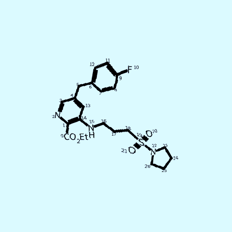 CCOC(=O)c1ncc(Cc2ccc(F)cc2)cc1NCCCS(=O)(=O)N1CCCC1